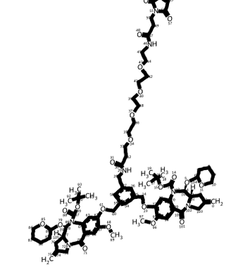 C=C1C[C@H]2[C@H](OC3CCCCO3)N(C(=O)OC(C)(C)C)c3cc(OCc4cc(CNC(=O)CCOCCOCCOCCOCCNC(=O)CCN5C(=O)C=CC5=O)cc(COc5cc6c(cc5OC)C(=O)N5CC(=C)C[C@H]5[C@H](OC5CCCCO5)N6C(=O)OC(C)(C)C)c4)c(OC)cc3C(=O)N2C1